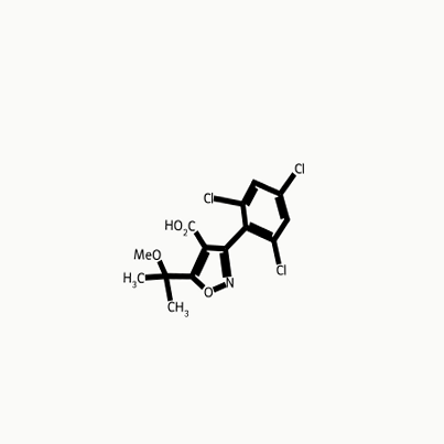 COC(C)(C)c1onc(-c2c(Cl)cc(Cl)cc2Cl)c1C(=O)O